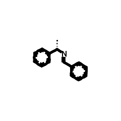 C[C@H](/N=C/c1ccccc1)c1ccccc1